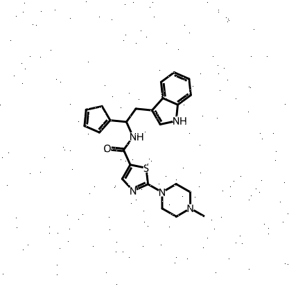 CN1CCN(c2ncc(C(=O)NC(Cc3c[nH]c4ccccc34)C3=CC=CC3)s2)CC1